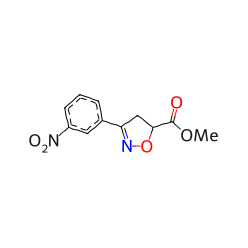 COC(=O)C1CC(c2cccc([N+](=O)[O-])c2)=NO1